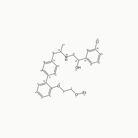 CCOCCOc1ccccc1-c1ccc(CC(C)NCC(O)c2cccc(Cl)c2)cc1